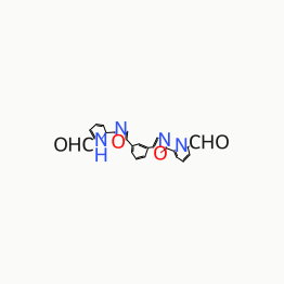 O=CC1=CC=CC(c2ncc(-c3cccc(-c4cnc(-c5cccc(C=O)n5)o4)c3)o2)N1